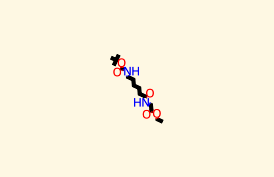 CCOC(=O)CNC(=O)CCCCCNC(=O)OC(C)(C)C